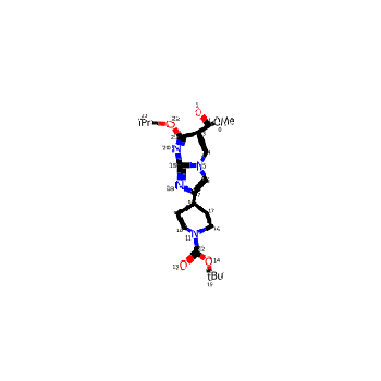 COC(=O)c1cn2cc(C3CCN(C(=O)OC(C)(C)C)CC3)nc2nc1OC(C)C